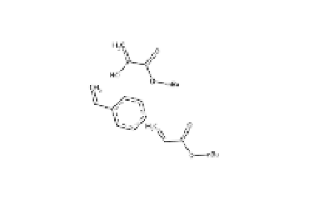 C=C(O)C(=O)OCCCC.C=CC(=O)OCCCC.C=Cc1ccccc1